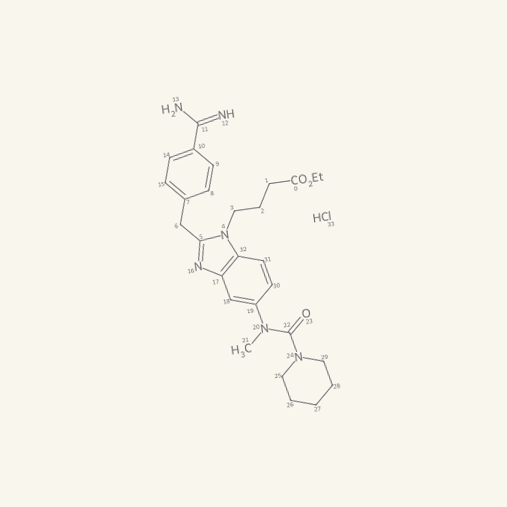 CCOC(=O)CCCn1c(Cc2ccc(C(=N)N)cc2)nc2cc(N(C)C(=O)N3CCCCC3)ccc21.Cl